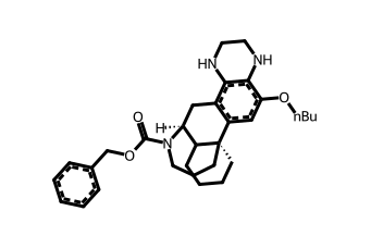 CCCCOc1cc2c(c3c1NCCN3)C[C@H]1C3CCCC[C@@]23CCCN1C(=O)OCc1ccccc1